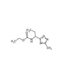 CCOC(=O)NC(CC)c1nc(C)no1